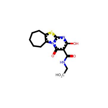 O=C(O)CNC(=O)c1c(O)nc2sc3c(n2c1=O)CCCCC3